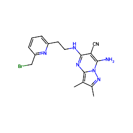 Cc1nn2c(N)c(C#N)c(NCCc3cccc(CBr)n3)nc2c1C